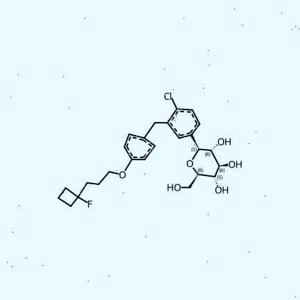 OC[C@H]1O[C@@H](c2ccc(Cl)c(Cc3ccc(OCCCC4(F)CCC4)cc3)c2)[C@H](O)[C@@H](O)[C@@H]1O